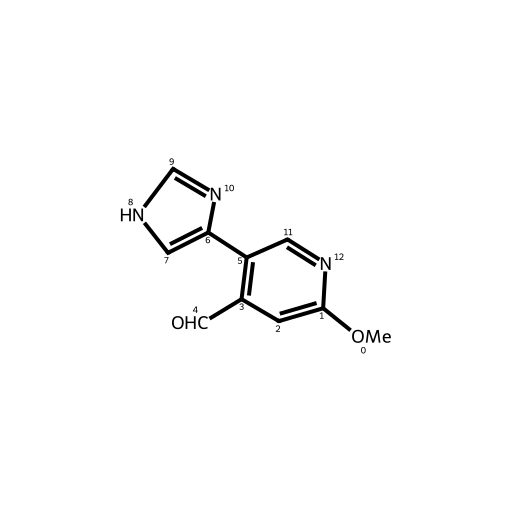 COc1cc(C=O)c(-c2c[nH]cn2)cn1